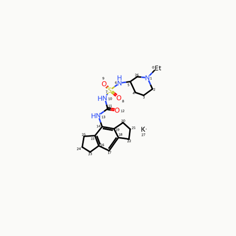 CCN1CCCC(NS(=O)(=O)NC(=O)Nc2c3c(cc4c2CCC4)CCC3)C1.[K]